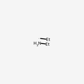 CCN.[CH2]CC